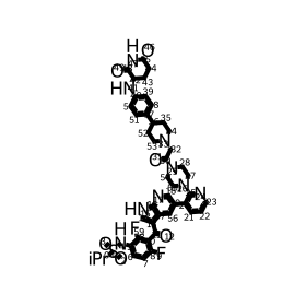 CC(C)S(=O)(=O)Nc1ccc(F)c(C(=O)c2c[nH]c3ncc(-c4cccnc4N4CCN(C(=O)CN5CCC(c6ccc(NC7CCC(=O)NC7=O)cc6)CC5)CC4)cc23)c1F